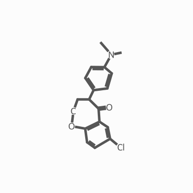 CN(C)c1ccc(C2CCOc3ccc(Cl)cc3C2=O)cc1